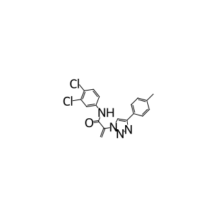 C=C(C(=O)Nc1ccc(Cl)c(Cl)c1)n1cc(-c2ccc(C)cc2)nn1